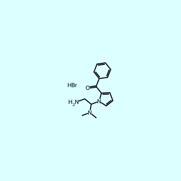 Br.CN(C)C(CN)n1cccc1C(=O)c1ccccc1